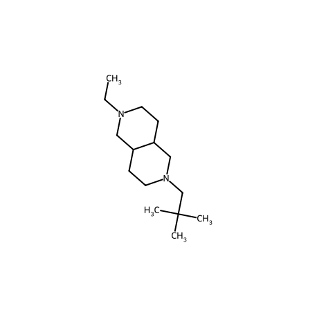 CCN1CCC2CN(CC(C)(C)C)CCC2C1